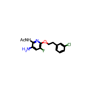 CC(=O)Nc1nc(OCCc2cccc(Cl)c2)c(F)cc1N